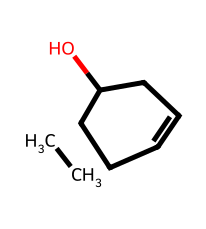 CC.OC1CC=CCC1